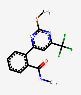 CNC(=O)c1ccccc1-c1cc(C(F)(F)F)nc(SC)n1